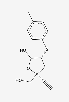 C#C[C@@]1(CO)C[C@@H](Sc2ccc(C)cc2)C(O)O1